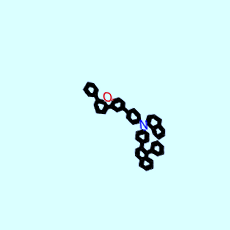 c1ccc(-c2c(-c3ccc(N(c4ccc(-c5ccc6oc7c(-c8ccccc8)cccc7c6c5)cc4)c4cccc5ccccc45)cc3)ccc3ccccc23)cc1